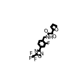 O=C(NCc1ccc(-c2noc(C(F)(F)F)n2)cc1F)C(=O)c1ccco1